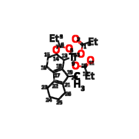 CCC(=O)[O][Ti]([O]C(=O)CC)([O]C(=O)CC)[CH]1CCCC2=C1C(C)C1=C2CCCC1